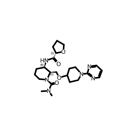 CN(C)C(=O)N1CCC[C@@H](NC(=O)[C@@H]2CCCO2)[C@H]1COC1CCN(c2ncccn2)CC1